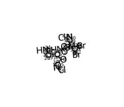 COC(=O)Nc1cc(C(=O)c2ccnc(Cl)c2)cc(-c2cccc3[nH]ccc23)c1.O=C(c1cc(Br)cc(Br)c1)c1ccnc(Cl)c1